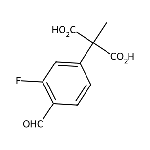 CC(C(=O)O)(C(=O)O)c1ccc(C=O)c(F)c1